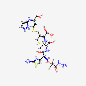 COCc1cc(SCC2=C(C(=O)O)N3C(=O)C(NC(=O)C(=NOC(C)(C)C(=O)NN)c4csc(N)n4)[C@@H]3SC2)n2nccc2n1